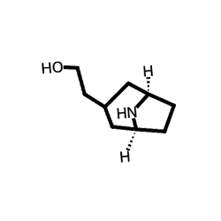 OCCC1C[C@H]2CC[C@@H](C1)N2